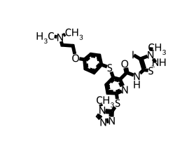 CN(C)CCOc1ccc(Sc2ccc(Sc3nncn3C)nc2C(=O)NC2=C(I)N(C)NS2)cc1